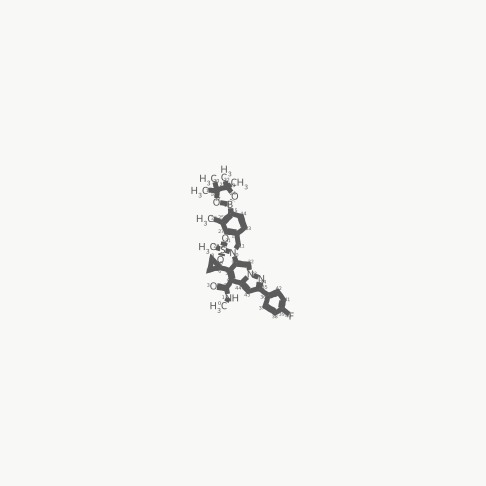 CNC(=O)c1c(C2CC2)c(N(Cc2ccc(B3OC(C)(C)C(C)(C)O3)c(C)c2)S(C)(=O)=O)cn2nc(-c3ccc(F)cc3)cc12